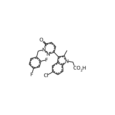 Cc1c(-c2ccc(=O)n(Cc3ccc(F)cc3F)n2)c2cc(Cl)ccc2n1CC(=O)O